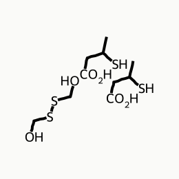 CC(S)CC(=O)O.CC(S)CC(=O)O.OCSSCO